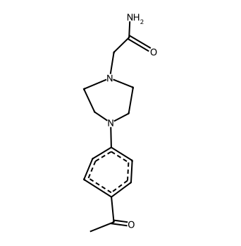 CC(=O)c1ccc(N2CCN(CC(N)=O)CC2)cc1